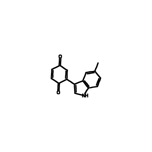 Cc1ccc2[nH]cc(C3=CC(=O)C=CC3=O)c2c1